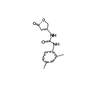 Cc1ccc(NC(=O)NC2=CC(=O)OC2)c(C)c1